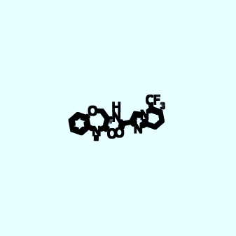 CN1C(=O)[C@@H](NC(=O)c2cn3c(n2)CCC=C3C(F)(F)F)COc2ccccc21